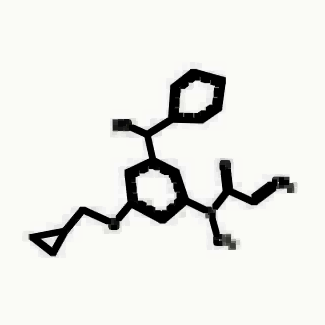 C=CC(=O)N(C)c1cc(OCC2CC2)cc(C(O)c2ccccc2)c1